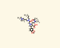 CCCCN(CCCCN(C)C)C(=O)CN1C[C@H](c2ccc3c(c2)OCO3)[C@@H](C(=O)O)[C@@H]1CCN(C)C(C)=O